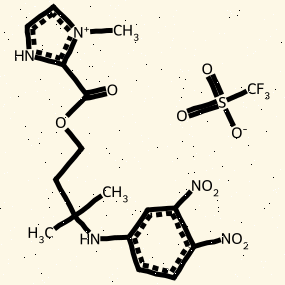 C[n+]1cc[nH]c1C(=O)OCCC(C)(C)Nc1ccc([N+](=O)[O-])c([N+](=O)[O-])c1.O=S(=O)([O-])C(F)(F)F